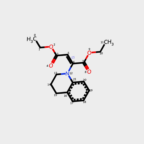 CCOC(=O)/C=C(/C(=O)OCC)N1CCCc2ccccc21